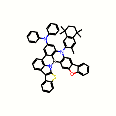 Cc1cc2c(cc1N1c3cc4c(cc3B3c5c(cc(N(c6ccccc6)c6ccccc6)cc51)-c1cccc5c6c7ccccc7sc6n3c15)oc1ccccc14)C(C)(C)CCC2(C)C